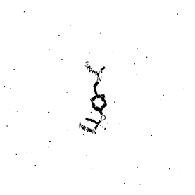 CC[C@](C)(N=[N+]=[N-])Oc1ccc(/C=N/N(C)P=S)cc1